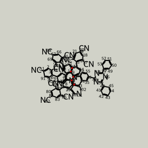 N#Cc1cc(C#N)c(-c2ccc3c(c2)c2cc(-c4c(C#N)cc(C#N)cc4C#N)ccc2n3-c2ccncc2-c2cc(-c3nc(-c4ccccc4)nc(-c4ccccc4)n3)ccc2-n2c3ccc(-c4c(C#N)cc(C#N)cc4C#N)cc3c3cc(-c4c(C#N)cc(C#N)cc4C#N)ccc32)c(C#N)c1